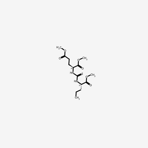 CCC[C@H](NC(=S)N[C@@H](CCC(=O)OC)C(=O)OC)C(=O)OC